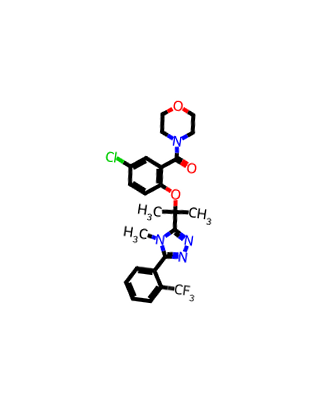 Cn1c(-c2ccccc2C(F)(F)F)nnc1C(C)(C)Oc1ccc(Cl)cc1C(=O)N1CCOCC1